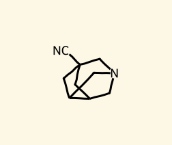 N#CC12CC3CN(CC3C1)C2